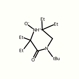 CCC1(CC)CN(C(C)(C)C)C(=O)C(CC)(CC)[NH+]1[O-]